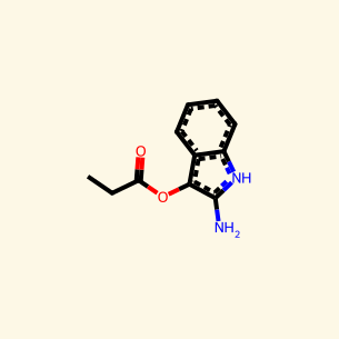 CCC(=O)Oc1c(N)[nH]c2ccccc12